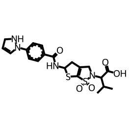 CC(C)C(C(=O)O)N1CC2=C(SC(NC(=O)c3ccc(N4C=CCN4)cc3)C2)S1(=O)=O